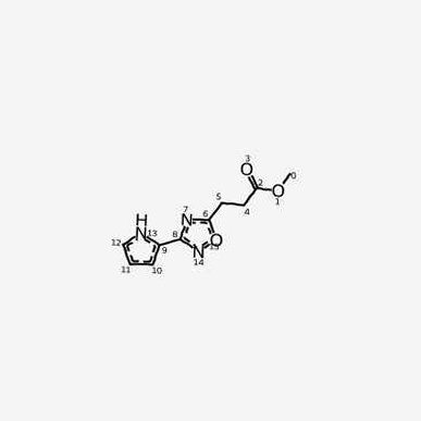 COC(=O)CCc1nc(-c2ccc[nH]2)no1